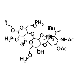 C=CCO[C@@H]1OC(COP)[C@@H](O[C@@H]2OC(COP)[C@H](O)[C@H](O[C@]3(C)C[C@@H](OC(C)=O)[C@@H](NC(C)=O)C([C@H](C)[C@H](C)CC)O3)C2OP)[C@H](P=O)C1OP